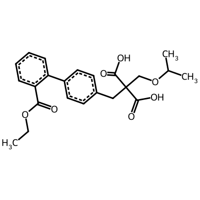 CCOC(=O)c1ccccc1-c1ccc(CC(COC(C)C)(C(=O)O)C(=O)O)cc1